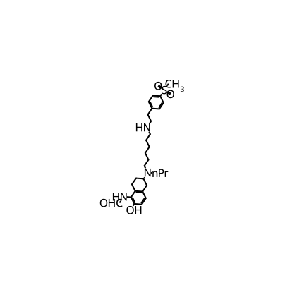 CCCN(CCCCCCNCCc1ccc(S(C)(=O)=O)cc1)[C@H]1CCc2c(ccc(O)c2NC=O)C1